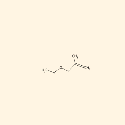 C=C(C)CO[CH]C